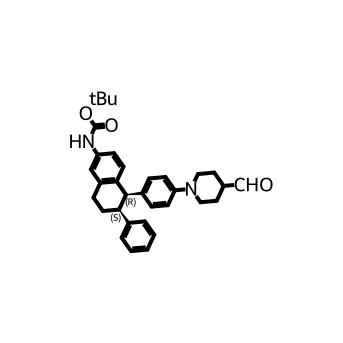 CC(C)(C)OC(=O)Nc1ccc2c(c1)CC[C@H](c1ccccc1)[C@@H]2c1ccc(N2CCC(C=O)CC2)cc1